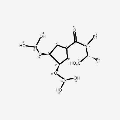 CC[C@H](C(=O)O)N(CC)C(=O)C1C[C@H](ON(O)O)[C@H](ON(O)O)C1